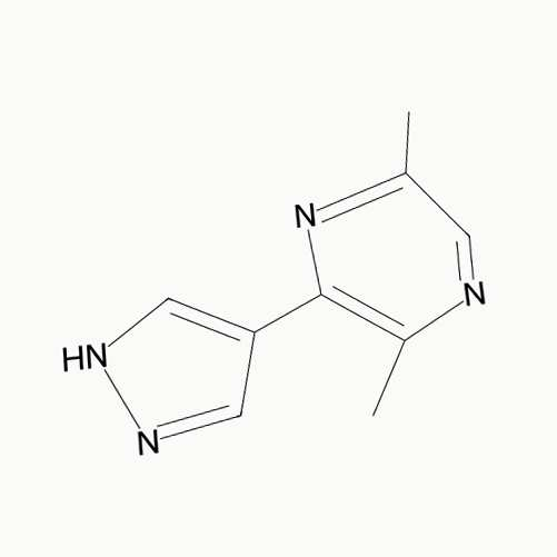 Cc1cnc(C)c(-c2cn[nH]c2)n1